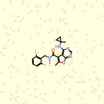 Cc1oc2ncnc(NC3(C)CC3)c2c1C(=O)N(I)Cc1c(F)cccc1F